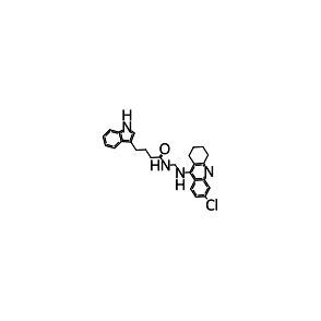 O=C(CCCc1c[nH]c2ccccc12)NCNc1c2c(nc3cc(Cl)ccc13)CCCC2